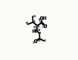 CC(=O)CN[C@H](C(=O)O)C(C)C